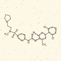 Cc1cc(-c2c(Cl)cccc2Cl)cc2nnc(Nc3ccc(S(=O)(=O)N(C)CCN4CCCC4)cc3)nc12